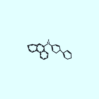 CN(C1=CCC(C2=CCCC=C2)C=C1)c1cc2ccccc2c2ccccc12